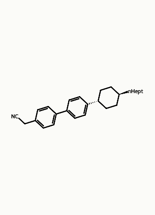 CCCCCCC[C@H]1CC[C@H](c2ccc(-c3ccc(CC#N)cc3)cc2)CC1